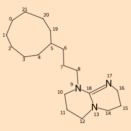 C1CCCCC(CCCN2CCCN3CCCN=C32)CCC1